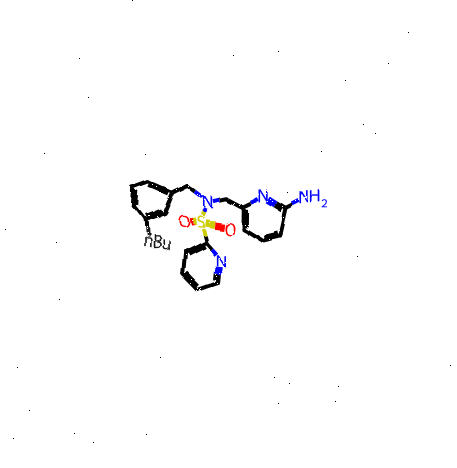 CCCCc1cccc(CN(Cc2cccc(N)n2)S(=O)(=O)c2ccccn2)c1